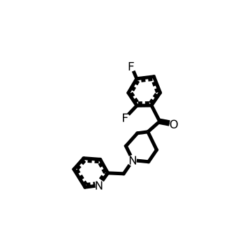 O=C(c1ccc(F)cc1F)C1CCN(Cc2ccccn2)CC1